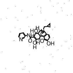 O=C(Nc1cccnc1)C1=C(O)[C@@H]2Oc3c(O)ccc4c3[C@@]23CCN(CC2CC2)[C@H](C4)[C@]3(O)C1